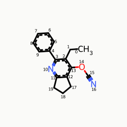 CCc1c(-c2ccccc2)nc2c(c1OC#N)CCC2